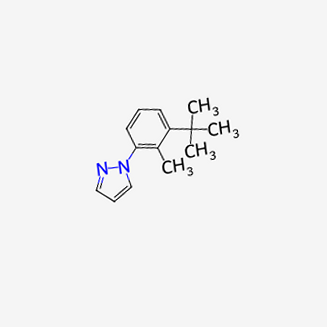 Cc1c(-n2cccn2)cccc1C(C)(C)C